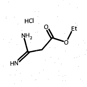 CCOC(=O)CC(=N)N.Cl